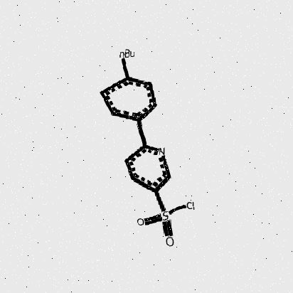 CCCCc1ccc(-c2ccc(S(=O)(=O)Cl)cn2)cc1